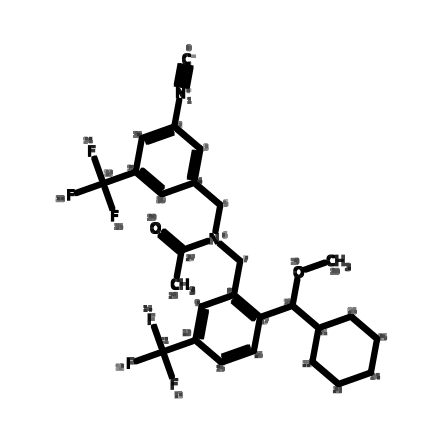 [C-]#[N+]c1cc(CN(Cc2cc(C(F)(F)F)ccc2C(OC)C2CCCCC2)C(C)=O)cc(C(F)(F)F)c1